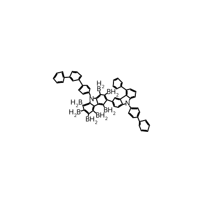 Bc1c(B)c(B)c2c(c1B)c1c(B)c(-c3ccc4c(c3)c3c(-c5ccccc5)cccc3n4-c3ccc(-c4ccccc4)cc3)c(B)c(B)c1n2-c1ccc(-c2cccc(-c3ccccc3)c2)cc1